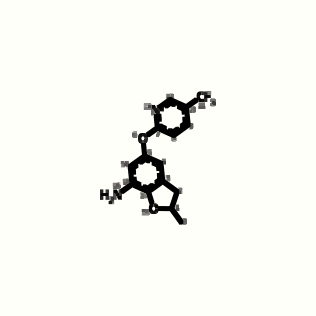 CC1Cc2cc(Oc3ccc(C(F)(F)F)cn3)cc(N)c2O1